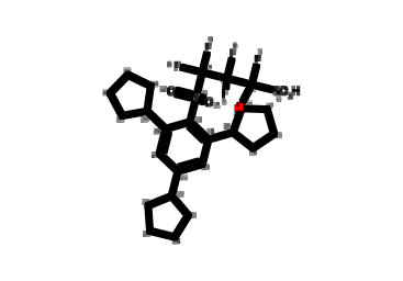 O=S(=O)(O)C(F)(F)C(F)(F)C(F)(F)S(=O)(=O)c1c(C2CCCC2)cc(C2CCCC2)cc1C1CCCC1